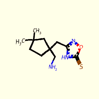 CC1(C)CCC(CN)(Cc2noc(=S)[nH]2)C1